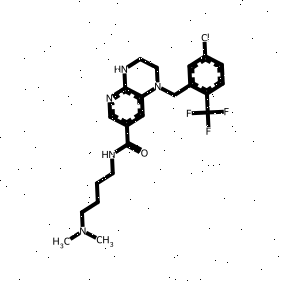 CN(C)CCCCNC(=O)c1cnc2c(c1)N(Cc1cc(Cl)ccc1C(F)(F)F)CCN2